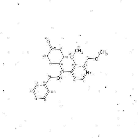 COCc1nccc(N(OCc2ccccc2)C2CCC(=O)CC2)c1OC